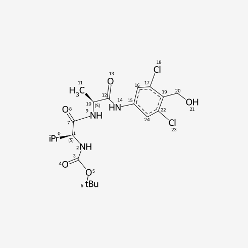 CC(C)[C@H](NC(=O)OC(C)(C)C)C(=O)N[C@@H](C)C(=O)Nc1cc(Cl)c(CO)c(Cl)c1